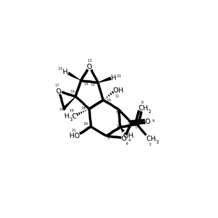 C=C(C)[C@]1(O)C2OC(=O)C1[C@]1(O)[C@H]3O[C@H]3[C@]3(CO3)[C@]1(C)C2O